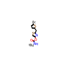 CC(=O)c1ccc(Cc2nc(OC(=O)NC(C)(C)C)cs2)s1